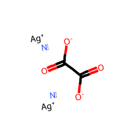 O=C([O-])C(=O)[O-].[Ag+].[Ag+].[N].[N]